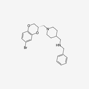 Brc1ccc2c(c1)O[C@@H](CN1CCC(CNCc3ccccc3)CC1)CO2